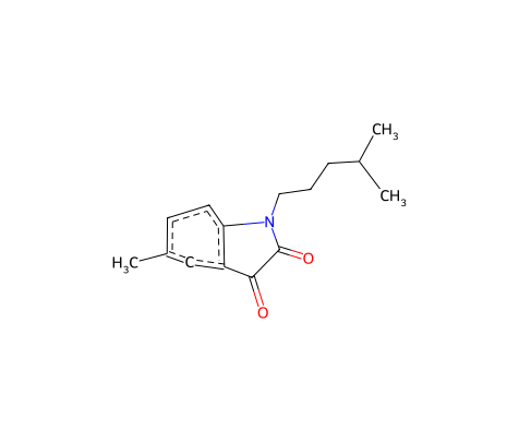 Cc1ccc2c(c1)C(=O)C(=O)N2CCCC(C)C